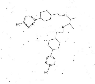 CC(OCCC1CCC(c2ccc(C#N)cc2)CC1)C(C)OCCC1CCC(c2ccc(C#N)cc2)CC1